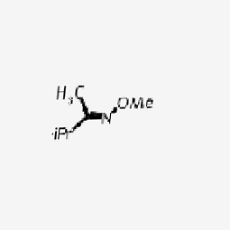 CON=C(C)[C](C)C